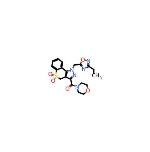 CCc1noc(Cn2nc(C(=O)N3CCOCC3)c3c2-c2ccccc2S(=O)(=O)C3)n1